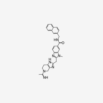 CC(=N)N1CCc2[nH]c(Cc3nc4ccc(C(=O)NCc5ccc6ccccc6c5)cc4n3C)nc2C1